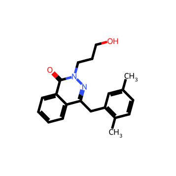 Cc1ccc(C)c(Cc2nn(CCCO)c(=O)c3ccccc23)c1